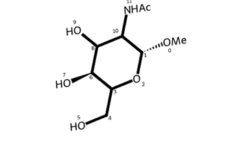 CO[C@@H]1OC(CO)[C@@H](O)C(O)C1NC(C)=O